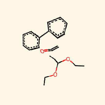 C=C=O.CCOC(C)OCC.c1ccc(-c2ccccc2)cc1